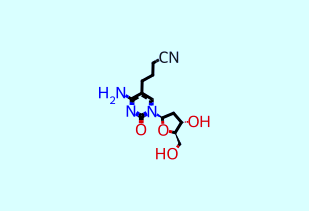 N#CCCCc1cn([C@H]2C[C@H](O)[C@@H](CO)O2)c(=O)nc1N